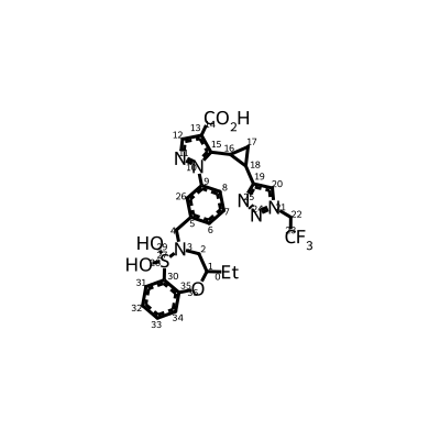 CCC1CN(Cc2cccc(-n3ncc(C(=O)O)c3C3CC3c3cn(CC(F)(F)F)nn3)c2)S(O)(O)c2ccccc2O1